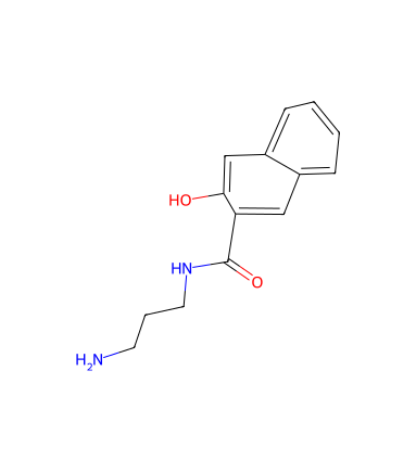 NCCCNC(=O)c1cc2ccccc2cc1O